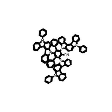 N#Cc1c(-n2c3ccccc3c3c4c5ccccc5n(-c5ccccc5)c4ccc32)c(-c2ccccc2)c(-n2c3ccccc3c3c4c5ccccc5n(-c5ccccc5)c4ccc32)c(-c2ccccc2)c1-n1c2ccccc2c2c3c4ccccc4n(-c4ccccc4)c3ccc21